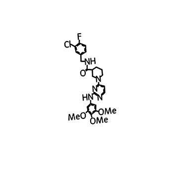 COc1cc(Nc2nccc(N3CCCC(C(=O)NCc4ccc(F)c(Cl)c4)C3)n2)cc(OC)c1OC